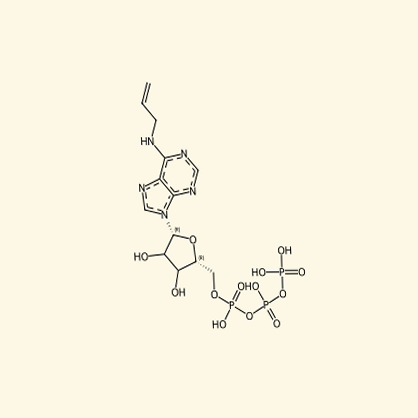 C=CCNc1ncnc2c1ncn2[C@@H]1O[C@H](COP(=O)(O)OP(=O)(O)OP(=O)(O)O)C(O)C1O